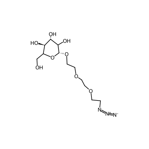 [N-]=[N+]=NCCOCCOCCO[C@@H]1OC(CO)[C@@H](O)[C@H](O)C1O